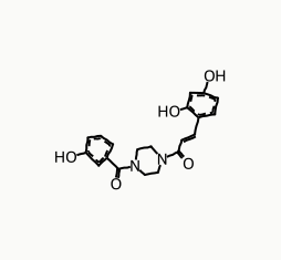 O=C(/C=C/c1ccc(O)cc1O)N1CCN(C(=O)c2cccc(O)c2)CC1